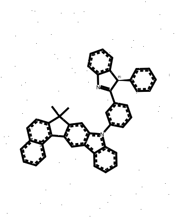 CC1(C)c2cc3c(cc2-c2c1ccc1ccccc21)c1ccccc1n3-c1cccc(C2=Nc3ccccc3[C@H]2c2ccccc2)c1